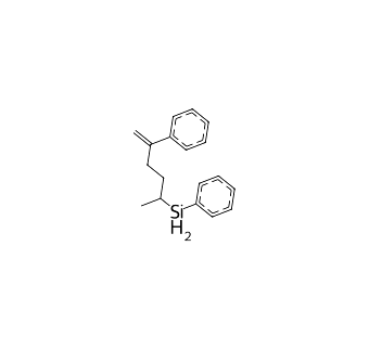 C=C(CCC(C)[SiH2]c1ccccc1)c1ccccc1